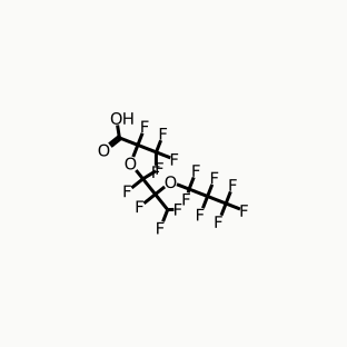 O=C(O)C(F)(OC(F)(F)C(F)(OC(F)(F)C(F)(F)C(F)(F)F)C(F)F)C(F)(F)F